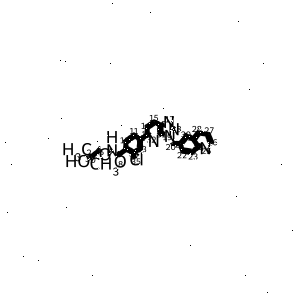 CC(C)(O)CONC(=O)c1ccc(-c2ccc3nnn(Cc4ccc5ncccc5c4)c3n2)cc1Cl